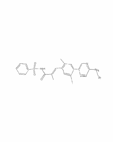 C/C(=C\c1cc(C)c(-c2ccc(NC(C)C)nc2)cc1C)C(=O)NS(=O)(=O)c1ccccc1